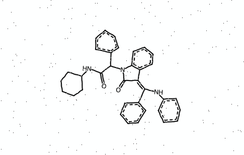 O=C(NC1CCCCC1)C(c1ccccc1)N1C(=O)C(=C(Nc2ccccc2)c2ccccc2)c2ccccc21